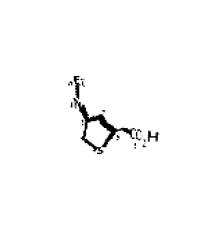 CCN=C1CS[C@H](C(=O)O)C1